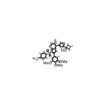 COc1cc(-c2cc3c(-c4cnc(C5(O)CCC5)s4)c(F)cnc3n2S(=O)(=O)c2ccc(C)cc2)cc(OC)c1OC